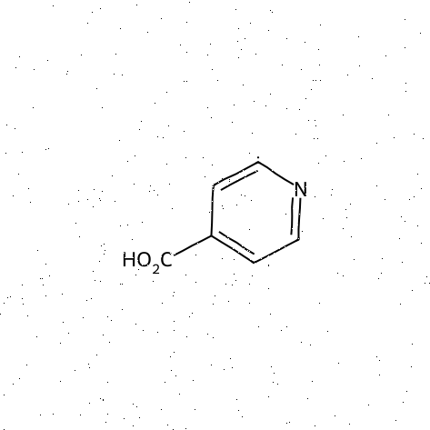 O=C(O)c1c[c]ncc1